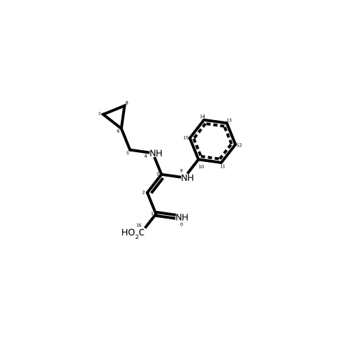 N=C(/C=C(/NCC1CC1)Nc1ccccc1)C(=O)O